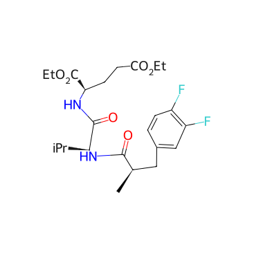 CCOC(=O)CC[C@@H](NC(=O)[C@@H](NC(=O)[C@H](C)Cc1ccc(F)c(F)c1)C(C)C)C(=O)OCC